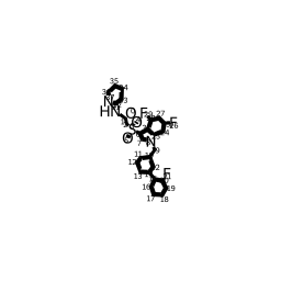 O=C(CS(=O)(=O)c1cn(Cc2cccc(-c3ccccc3F)c2)c2cc(F)cc(F)c12)Nc1ccccn1